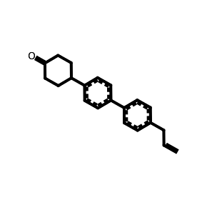 C=CCc1ccc(-c2ccc(C3CCC(=O)CC3)cc2)cc1